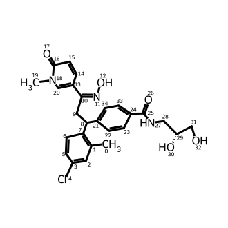 Cc1cc(Cl)ccc1C(CC(=NO)c1ccc(=O)n(C)c1)c1ccc(C(=O)NC[C@@H](O)CO)cc1